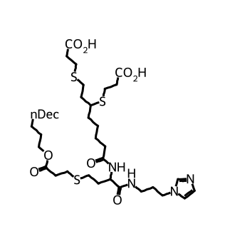 CCCCCCCCCCCCCOC(=O)CCSCCC(NC(=O)CCCCC(CCSCCC(=O)O)SCCC(=O)O)C(=O)NCCCn1ccnc1